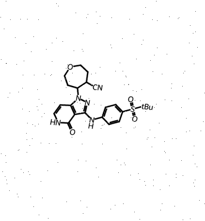 CC(C)(C)S(=O)(=O)c1ccc(Nc2nn(C3CCOCCC3C#N)c3cc[nH]c(=O)c23)cc1